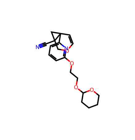 N#CC12COC=CC1(c1cccc(OCCOC3CCCCO3)n1)C2